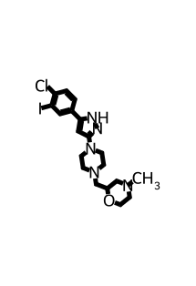 CN1CCOC(CN2CCN(c3cc(-c4ccc(Cl)c(I)c4)[nH]n3)CC2)C1